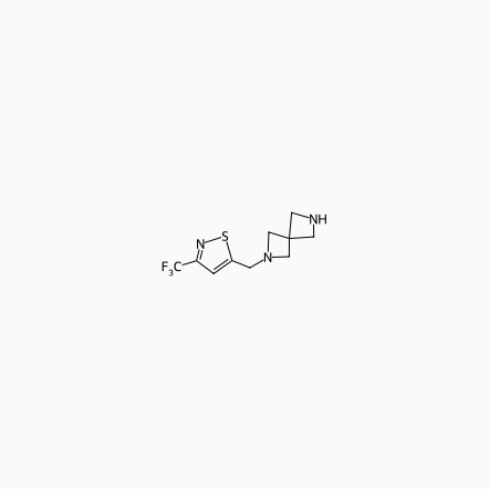 FC(F)(F)c1cc(CN2CC3(CNC3)C2)sn1